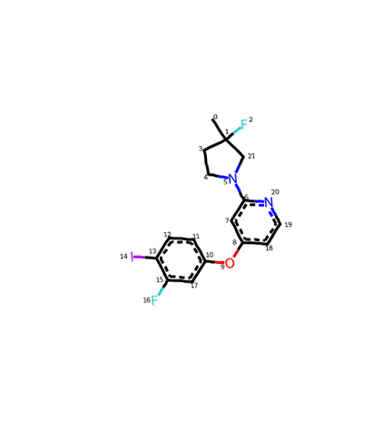 CC1(F)CCN(c2cc(Oc3ccc(I)c(F)c3)ccn2)C1